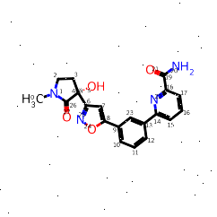 CN1CC[C@@](O)(c2cc(-c3cccc(-c4cccc(C(N)=O)n4)c3)on2)C1=O